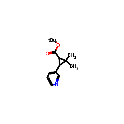 BC1(B)C(C(=O)OC(C)(C)C)C1c1cccnc1